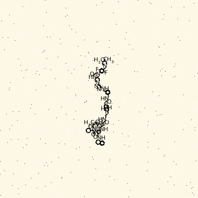 CN[C@@H](C)C(=O)N[C@H](C(=O)N1C[C@@H](NC(=O)CCC(=O)NCCCN2C[C@@H]3CN(CC(=O)NCc4cccc(CNc5cc(N6CCC7(CC6)CN(c6cc(F)c(CN8CCC(C)(C)CC8)cc6F)CC(=O)N7)ncn5)c4)C[C@@H]3C2)C[C@H]1C(=O)NC1CCCc2ccccc21)C1CCCCC1